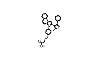 Cc1onc(-c2ccccc2)c1-c1cc2c3ccccc3ccc2n1-c1ccc(CCCC(=O)O)cc1